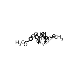 COCCOc1cc2ncnc(NC3=CC(=O)C(Oc4ccc(CCC(C)=O)cc4)=CC3=O)c2cc1OC